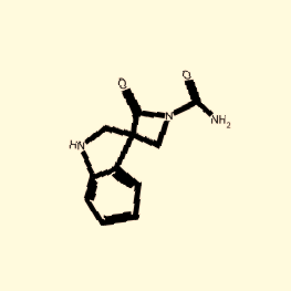 NC(=O)N1CC2(CNc3ccccc32)C1=O